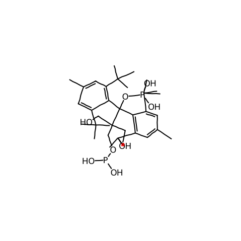 Cc1cc(C(C)(C)C)c(C(OP(O)O)(c2c(C(C)(C)C)cc(C)cc2C(C)(C)C)C(CO)(CO)COP(O)O)c(C(C)(C)C)c1